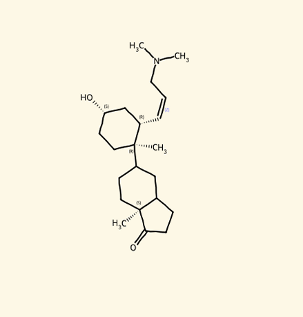 CN(C)C/C=C\[C@H]1C[C@@H](O)CC[C@]1(C)C1CC[C@]2(C)C(=O)CCC2C1